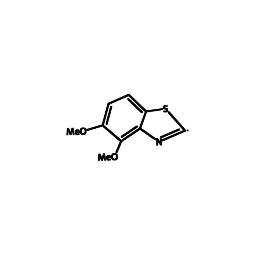 COc1ccc2s[c]nc2c1OC